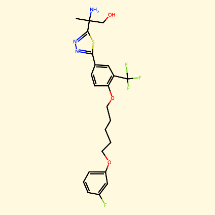 CC(N)(CO)c1nnc(-c2ccc(OCCCCCOc3cccc(F)c3)c(C(F)(F)F)c2)s1